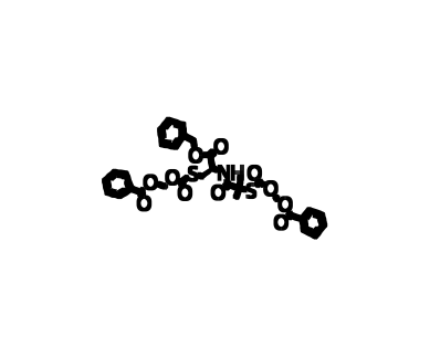 CC(C)(SC(=O)OCOC(=O)c1ccccc1)C(=O)N[C@@H](CSC(=O)OCOC(=O)c1ccccc1)C(=O)OCc1ccccc1